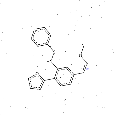 CO/N=C\c1ccc(-c2ccco2)c(NSc2ccccc2)c1